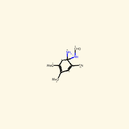 COC1=C(OC)CC(N)(NC=O)C(C#N)=C1